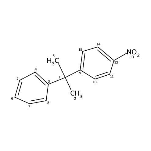 CC(C)(c1ccccc1)c1ccc([N+](=O)[O-])cc1